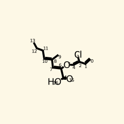 C=C/C(Cl)=C/O/C(=C\C(C)=C\CCC)C(=O)O